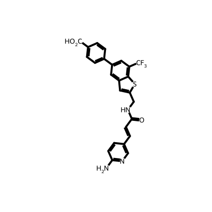 Nc1ccc(C=CC(=O)NCc2cc3cc(-c4ccc(C(=O)O)cc4)cc(C(F)(F)F)c3s2)cn1